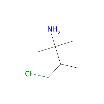 CC(CCl)C(C)(C)N